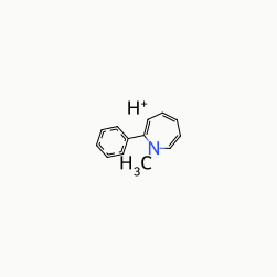 CN1C=CC=CC=C1c1ccccc1.[H+]